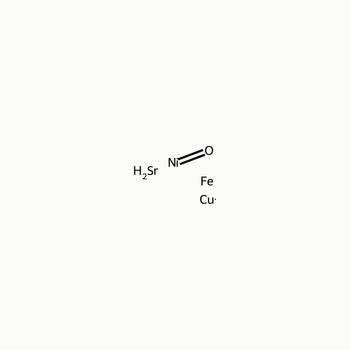 [Cu].[Fe].[O]=[Ni].[SrH2]